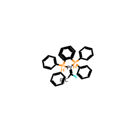 F[C](=[Pt]([PH](c1ccccc1)(c1ccccc1)c1ccccc1)[PH](c1ccccc1)(c1ccccc1)c1ccccc1)C(F)(F)F